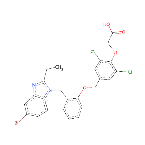 CCc1nc2cc(Br)ccc2n1Cc1ccccc1OCc1cc(Cl)c(OCC(=O)O)c(Cl)c1